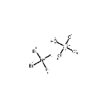 CC[N+](C)(CC)CC.[O-][Cl+3]([O-])([O-])O